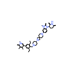 C=C1CCC(N2C(=C)N(C)c3cc(N4CCC5(CC4)CN(C4CCN(Cc6c(CC)cc(C7=CN(C)C(=C)C(C)=C7C)cc6CC)CC4)C5)ccc32)C(=C)N1